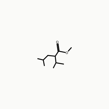 COC(=O)C(CC(C)C)C(C)C